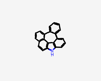 c1ccc2c(c1)-c1cccc3ccc4[nH]c5cccc-2c5c4c13